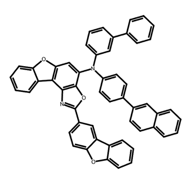 c1ccc(-c2cccc(N(c3ccc(-c4ccc5ccccc5c4)cc3)c3cc4oc5ccccc5c4c4nc(-c5ccc6oc7ccccc7c6c5)oc34)c2)cc1